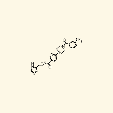 O=C(NCCc1cnc[nH]1)c1ccc(N2CCN(C(=O)c3cccc(C(F)(F)F)c3)CC2)nc1